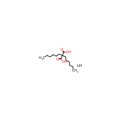 CCCCCCC(CCCCCC)(C(=O)O)C(=O)O.[LiH]